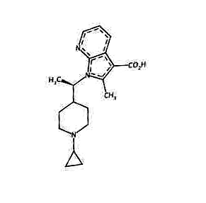 Cc1c(C(=O)O)c2cccnc2n1[C@H](C)C1CCN(C2CC2)CC1